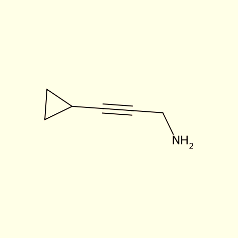 NCC#CC1CC1